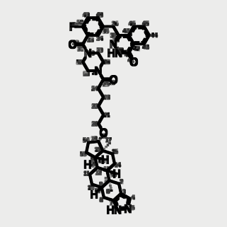 C[C@]12Cc3cn[nH]c3C[C@@H]1CC[C@@H]1[C@@H]2CC[C@]2(C)[C@@H](OCCCCCC(=O)N3CCN(C(=O)c4cc(Cc5n[nH]c(=O)c6ccccc56)ccc4F)CC3)CC[C@@H]12